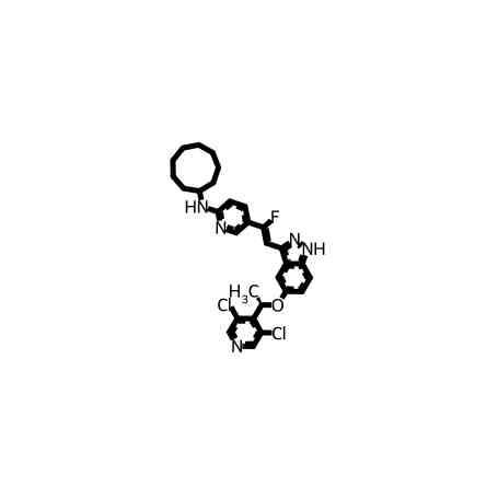 C[C@@H](Oc1ccc2[nH]nc(/C=C(\F)c3ccc(NC4CCCCCCCC4)nc3)c2c1)c1c(Cl)cncc1Cl